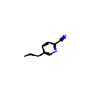 CCCc1ccc(C#N)nc1